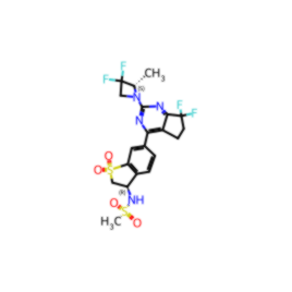 C[C@@H]1N(c2nc(-c3ccc4c(c3)S(=O)(=O)C[C@@H]4NS(C)(=O)=O)c3c(n2)C(F)(F)CC3)CC1(F)F